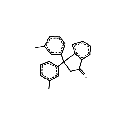 Cc1cccc(C2(c3cccc(C)c3)CC(=O)c3ccccc32)c1